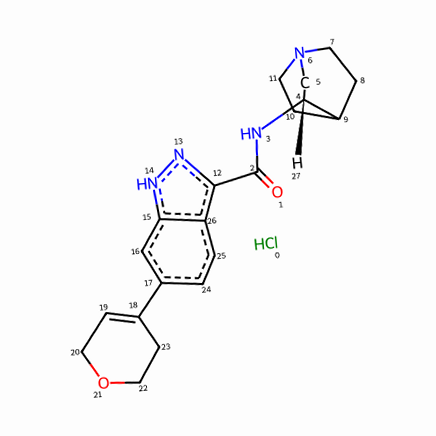 Cl.O=C(N[C@@H]1CN2CCC1CC2)c1n[nH]c2cc(C3=CCOCC3)ccc12